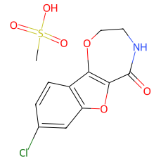 CS(=O)(=O)O.O=C1NCCOc2c1oc1cc(Cl)ccc21